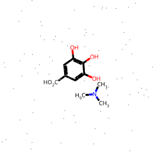 CN(C)C.O=C(O)c1cc(O)c(O)c(O)c1